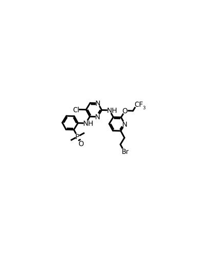 CP(C)(=O)c1ccccc1Nc1nc(Nc2ccc(CCBr)nc2OCC(F)(F)F)ncc1Cl